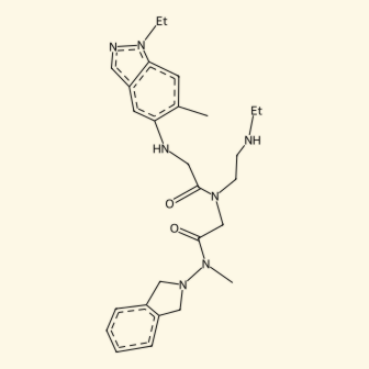 CCNCCN(CC(=O)N(C)N1Cc2ccccc2C1)C(=O)CNc1cc2cnn(CC)c2cc1C